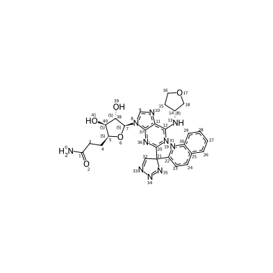 NC(=O)CC[C@@H]1O[C@H](n2cnc3c(N[C@@H]4CCOC4)nc(C4(c5ccc6ccccc6n5)C=NN=N4)nc32)[C@@H](O)[C@@H]1O